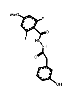 COc1cc(F)c(C(=O)NNC(=O)Cc2cccc(O)c2)c(F)c1